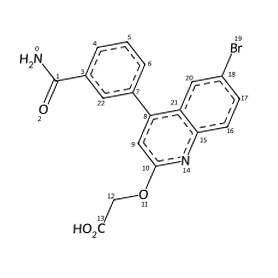 NC(=O)c1cccc(-c2cc(OCC(=O)O)nc3ccc(Br)cc23)c1